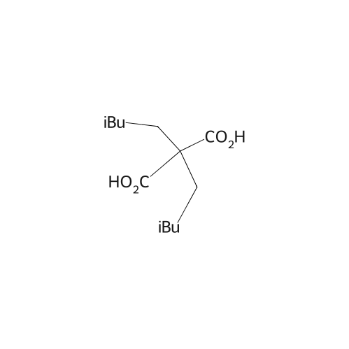 CCC(C)CC(CC(C)CC)(C(=O)O)C(=O)O